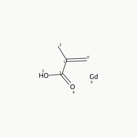 C=C(C)C(=O)O.[Gd]